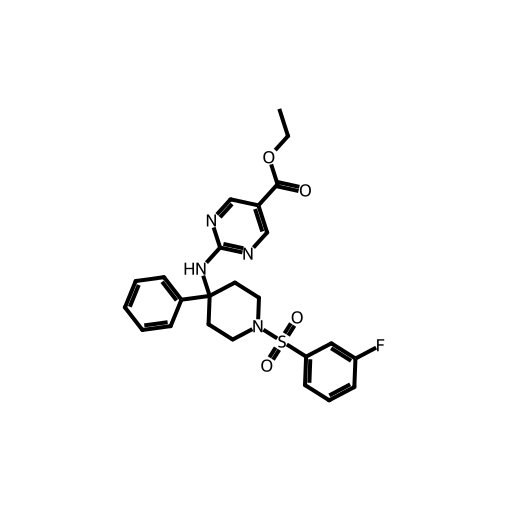 CCOC(=O)c1cnc(NC2(c3ccccc3)CCN(S(=O)(=O)c3cccc(F)c3)CC2)nc1